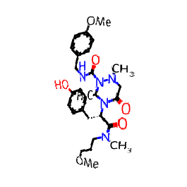 COCCCN(C)C(=O)[C@H](Cc1ccc(O)cc1)N1C(=O)CN(C)N(C(=O)NCc2ccc(OC)cc2)[C@H]1C